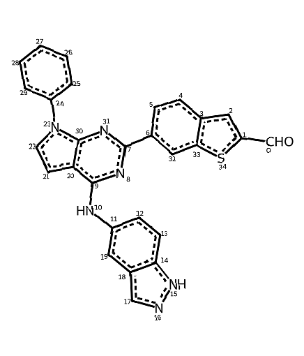 O=Cc1cc2ccc(-c3nc(Nc4ccc5[nH]ncc5c4)c4ccn(-c5ccccc5)c4n3)cc2s1